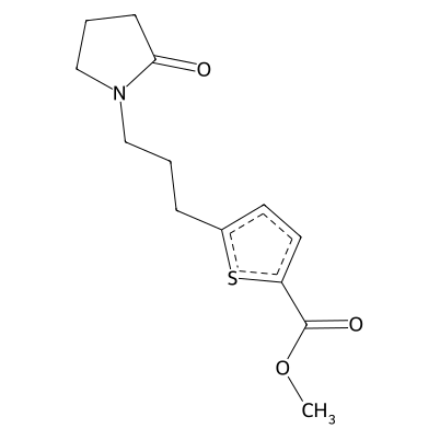 COC(=O)c1ccc(CCCN2CCCC2=O)s1